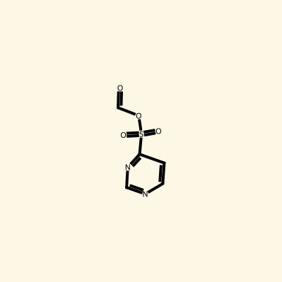 O=COS(=O)(=O)c1ccncn1